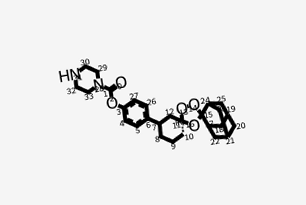 O=C(Oc1ccc(C2CCC[C@]3(C2)OOC2(O3)C3CC4CC(C3)CC2C4)cc1)N1CCNCC1